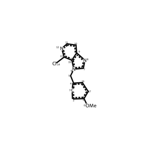 COc1ccc(Cn2cnc3ccnc(Cl)c32)cc1